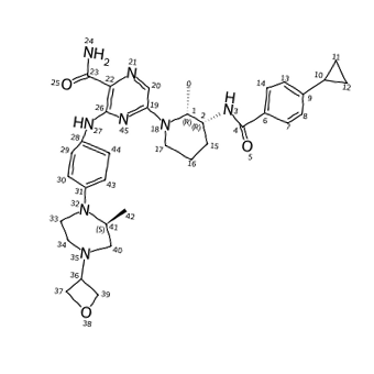 C[C@@H]1[C@H](NC(=O)c2ccc(C3CC3)cc2)CCCN1c1cnc(C(N)=O)c(Nc2ccc(N3CCN(C4COC4)C[C@@H]3C)cc2)n1